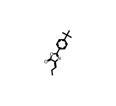 CC/C=C1/N=C(c2ccc(C(C)(C)C)cc2)OC1=O